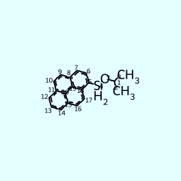 CC(C)O[SiH2]c1ccc2ccc3cccc4ccc1c2c34